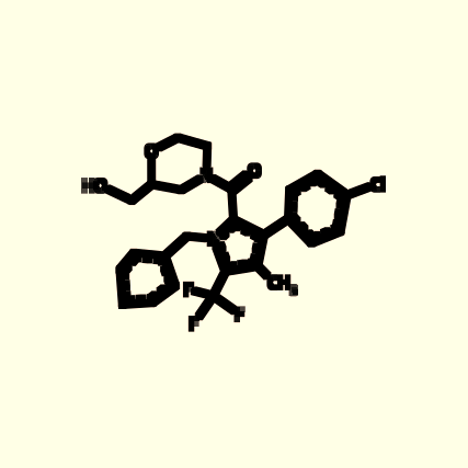 Cc1c(-c2ccc(Cl)cc2)c(C(=O)N2CCOC(CO)C2)n(Cc2ccccc2)c1C(F)(F)F